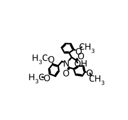 COc1ccc(C(=O)N(Cc2ccc(OC)cc2OC)C(C(=O)O)c2ccccc2OC)cc1